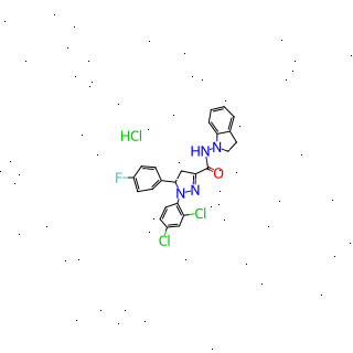 Cl.O=C(NN1CCc2ccccc21)C1=NN(c2ccc(Cl)cc2Cl)C(c2ccc(F)cc2)C1